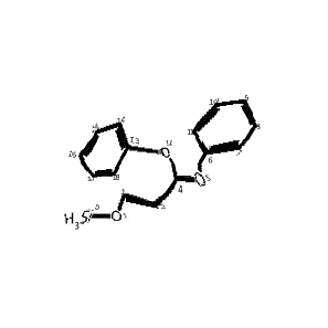 [SiH3]OC=CC(Oc1ccccc1)Oc1ccccc1